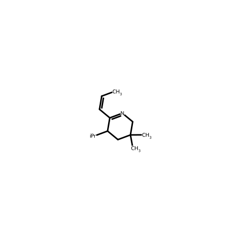 C/C=C\C1=NCC(C)(C)CC1C(C)C